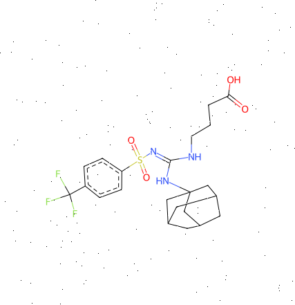 O=C(O)CCCN/C(=N/S(=O)(=O)c1ccc(C(F)(F)F)cc1)NC12CC3CC(CC(C3)C1)C2